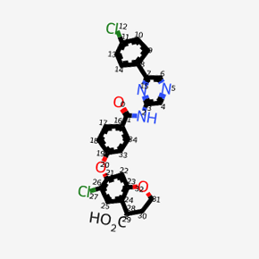 O=C(Nc1cncc(-c2ccc(Cl)cc2)n1)c1ccc(Oc2cc3c(cc2Cl)C(C(=O)O)CCO3)cc1